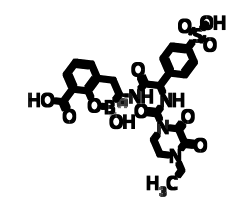 CCN1CCN(C(=O)NC(C(=O)N[C@H]2Cc3cccc(C(=O)O)c3OB2O)c2ccc(S(=O)(=O)O)cc2)C(=O)C1=O